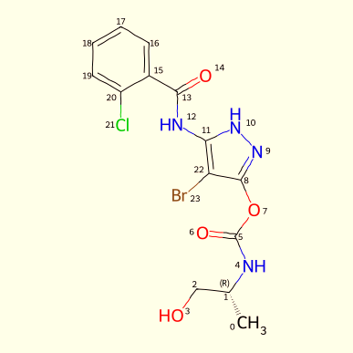 C[C@H](CO)NC(=O)Oc1n[nH]c(NC(=O)c2ccccc2Cl)c1Br